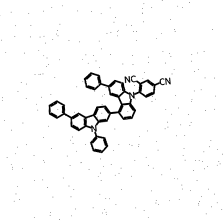 N#Cc1ccc(-n2c3ccc(-c4ccccc4)cc3c3c(-c4ccc5c6cc(-c7ccccc7)ccc6n(-c6ccccc6)c5c4)cccc32)c(C#N)c1